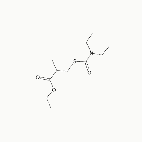 CCOC(=O)C(C)CSC(=O)N(CC)CC